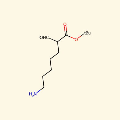 CC(C)(C)OC(=O)C([C]=O)CCCCCN